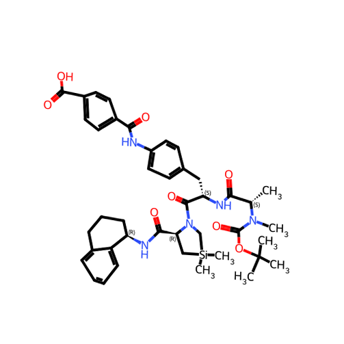 C[C@@H](C(=O)N[C@@H](Cc1ccc(NC(=O)c2ccc(C(=O)O)cc2)cc1)C(=O)N1C[Si](C)(C)C[C@H]1C(=O)N[C@@H]1CCCc2ccccc21)N(C)C(=O)OC(C)(C)C